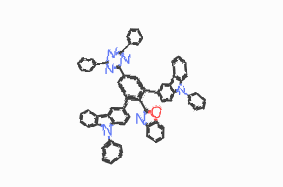 c1ccc(-c2nc(-c3ccccc3)nc(-c3cc(-c4ccc5c(c4)c4ccccc4n5-c4ccccc4)c(-c4nc5ccccc5o4)c(-c4ccc5c(c4)c4ccccc4n5-c4ccccc4)c3)n2)cc1